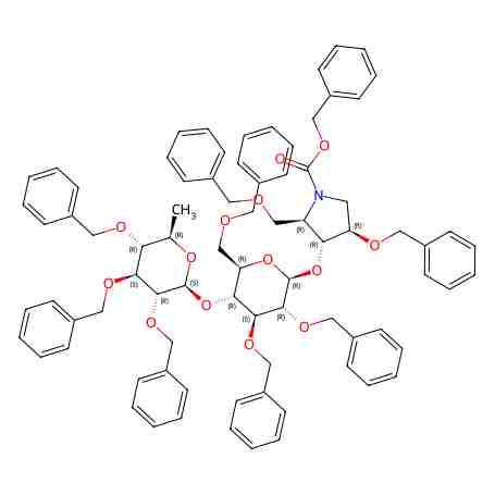 C[C@H]1O[C@@H](O[C@H]2[C@H](OCc3ccccc3)[C@@H](OCc3ccccc3)[C@H](O[C@@H]3[C@@H](COCc4ccccc4)N(C(=O)OCc4ccccc4)C[C@H]3OCc3ccccc3)O[C@@H]2COCc2ccccc2)[C@H](OCc2ccccc2)[C@@H](OCc2ccccc2)[C@@H]1OCc1ccccc1